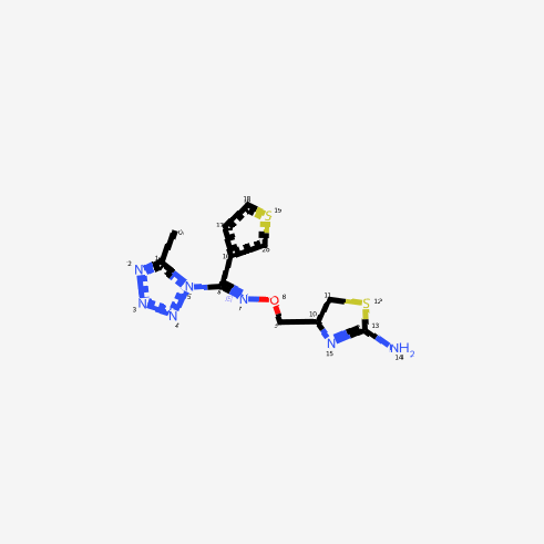 Cc1nnnn1/C(=N/OCC1CSC(N)=N1)c1ccsc1